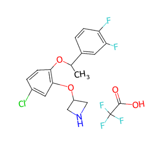 CC(Oc1ccc(Cl)cc1OC1CNC1)c1ccc(F)c(F)c1.O=C(O)C(F)(F)F